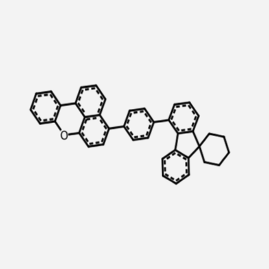 c1ccc2c(c1)Oc1ccc(-c3ccc(-c4cccc5c4-c4ccccc4C54CCCCC4)cc3)c3cccc-2c13